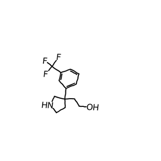 OCCC1(c2cccc(C(F)(F)F)c2)CCNC1